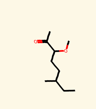 CCC(C)CCC(OC)C(C)=O